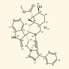 COC(=O)[C@@]12C[C@@]13C[C@@H]([C@@]1(CCn4cc(-c5ccccc5)nn4)C(=O)Nc4ccccc41)N(C#N)C[C@@H]3CC[C@@H]2O